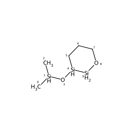 C[SiH](C)O[SiH]1CCCO[SiH2]1